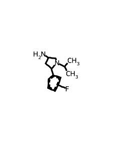 CC(C)N1CC(N)CC1c1cccc(F)c1